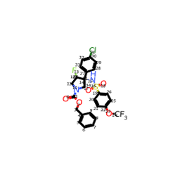 O=C(OCc1ccccc1)N1C[C@@H](F)[C@@](NS(=O)(=O)c2ccc(OC(F)(F)F)cc2)(c2ccc(Cl)cc2)C1